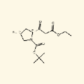 CCOC(=O)CC(=O)[C@H]1C[C@@H](F)CN1C(=O)OC(C)(C)C